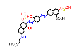 O=S(=O)(O)CCNc1ccc2cc(OSO)c(N=Nc3ccc(N=Nc4ccc5cc(OSO)cc(S(=O)(=O)O)c5c4)cc3O)c(O)c2c1